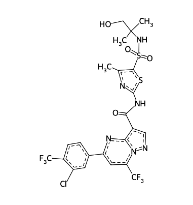 Cc1nc(NC(=O)c2cnn3c(C(F)(F)F)cc(-c4ccc(C(F)(F)F)c(Cl)c4)nc23)sc1S(=O)(=O)NC(C)(C)CO